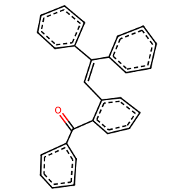 O=C(c1ccccc1)c1ccccc1C=C(c1ccccc1)c1ccccc1